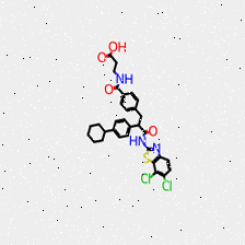 O=C(O)CCNC(=O)c1ccc(CC(C(=O)Nc2nc3ccc(Cl)c(Cl)c3s2)c2ccc(C3CCCCC3)cc2)cc1